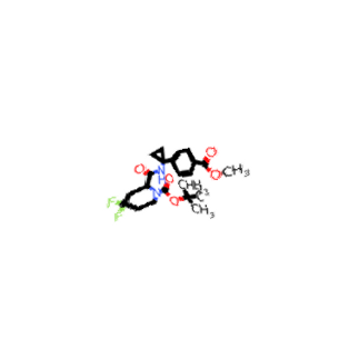 COC(=O)c1ccc(C2(NC(=O)C3CC(F)(F)CCN3C(=O)OC(C)(C)C)CC2)cc1